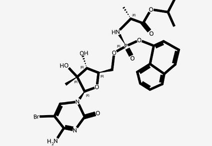 CC(C)OC(=O)[C@@H](C)N[P@@](=O)(OC[C@H]1O[C@@H](n2cc(Br)c(N)nc2=O)[C@](C)(O)[C@@H]1O)Oc1cccc2ccccc12